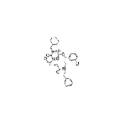 CCN(CCc1ccccc1)C(=O)CC[C@H](C=O)NC(=O)[C@@H](CC1CCCCC1)NC(=O)OCc1cccc(Cl)c1